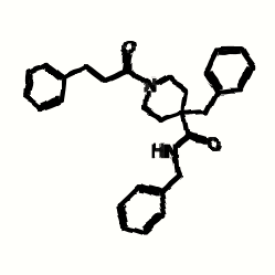 O=C(CCc1ccccc1)N1CCC(Cc2ccccc2)(C(=O)NCc2ccccc2)CC1